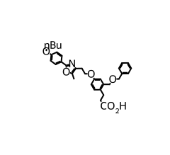 CCCCOc1ccc(-c2nc(CCOc3ccc(CCC(=O)O)c(COCc4ccccc4)c3)c(C)o2)cc1